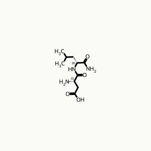 CC(C)C[C@@H](NC(=O)[C@@H](N)CC(=O)O)C(N)=O